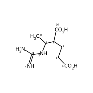 CC(NC(=N)N)C(CCC(=O)O)C(=O)O